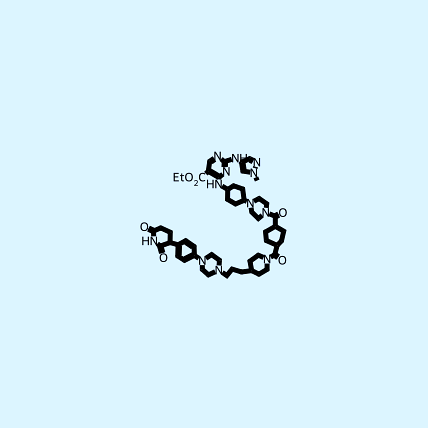 CCOC(=O)c1cnc(Nc2cnn(C)c2)nc1NC1CCC(N2CCN(C(=O)C3CCC(C(=O)N4CCC(CCCN5CCN(c6ccc(C7CCC(=O)NC7=O)cc6)CC5)CC4)CC3)CC2)CC1